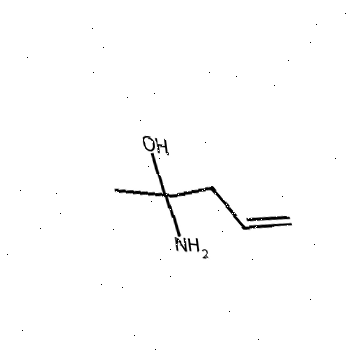 C=CCC(C)(N)O